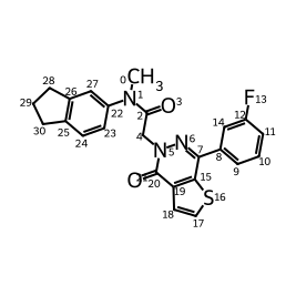 CN(C(=O)Cn1nc(-c2cccc(F)c2)c2sccc2c1=O)c1ccc2c(c1)CCC2